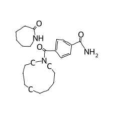 NC(=O)c1ccc(C(=O)N2CCCCCCCCCC2)cc1.O=C1CCCCCN1